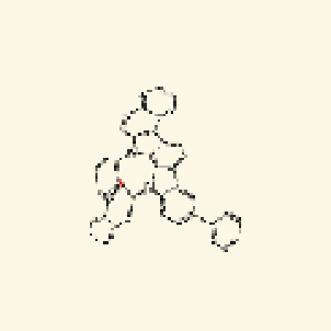 c1ccc(-c2ccc3c(c2)c2ccc4c5c6ccccc6ccc5n(-c5ccccc5)c4c2n3-c2ccc3ccccc3c2)cc1